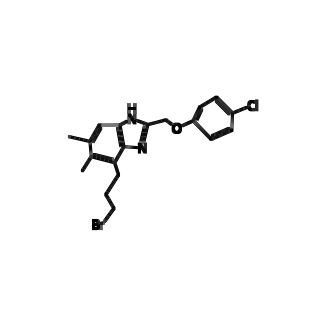 Cc1cc2[nH]c(COc3ccc(Cl)cc3)nc2c(CCCBr)c1C